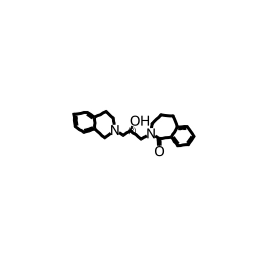 O=C1c2ccccc2CCCN1C[C@H](O)CN1CCc2ccccc2C1